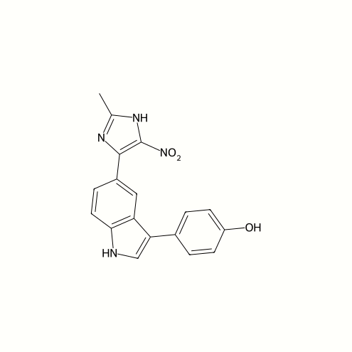 Cc1nc(-c2ccc3[nH]cc(-c4ccc(O)cc4)c3c2)c([N+](=O)[O-])[nH]1